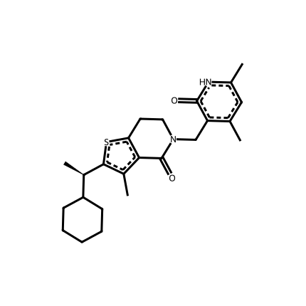 Cc1cc(C)c(CN2CCc3sc([C@H](C)C4CCCCC4)c(C)c3C2=O)c(=O)[nH]1